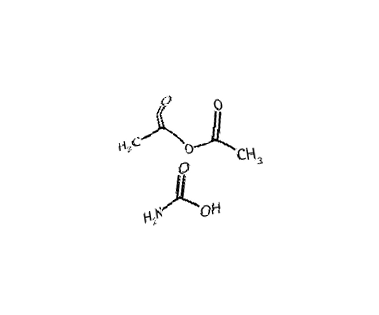 CC(=O)OC(C)=O.NC(=O)O